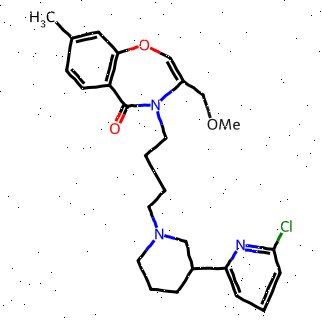 COCC1=COc2cc(C)ccc2C(=O)N1CCCCN1CCCC(c2cccc(Cl)n2)C1